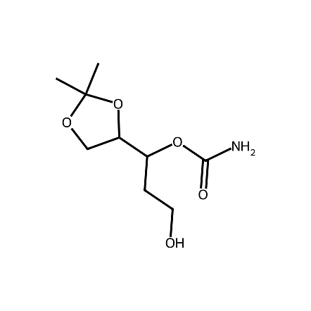 CC1(C)OCC(C(CCO)OC(N)=O)O1